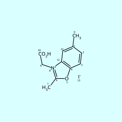 Cc1ccc2oc(C)[n+](CC(=O)O)c2c1.[I-]